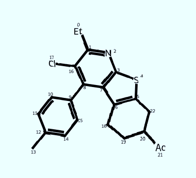 CCc1nc2sc3c(c2c(-c2ccc(C)cc2)c1Cl)CCC(C(C)=O)C3